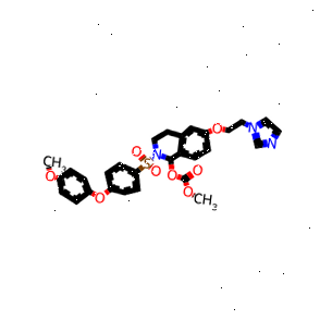 COC(=O)OC1c2ccc(OCCn3ccnc3)cc2CCN1S(=O)(=O)c1ccc(Oc2ccc(OC)cc2)cc1